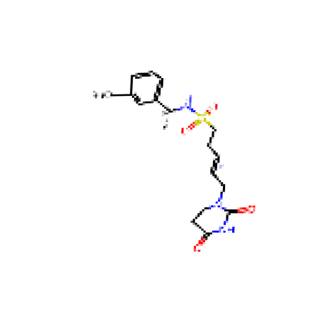 CC(C)COc1cccc([C@@H](C)NS(=O)(=O)CC/C=C/CN2CCC(=O)NC2=O)c1